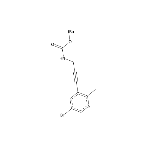 Cc1ncc(Br)cc1C#CCNC(=O)OC(C)(C)C